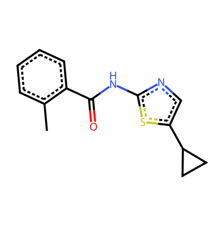 Cc1ccccc1C(=O)Nc1ncc(C2CC2)s1